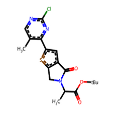 Cc1cnc(Cl)nc1-c1cc2c(s1)CN(C(C)C(=O)OC(C)(C)C)C2=O